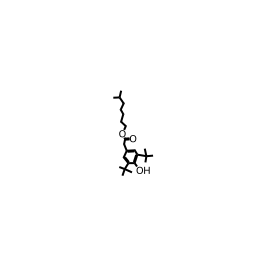 CC(C)CCCCCOC(=O)Cc1cc(C(C)(C)C)c(O)c(C(C)(C)C)c1